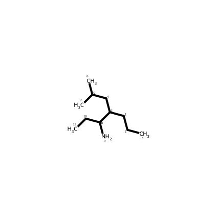 CCCC(CC(C)C)C(N)CC